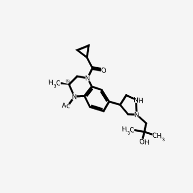 CC(=O)N1c2ccc(C3CNN(CC(C)(C)O)C3)cc2N(C(=O)C2CC2)C[C@@H]1C